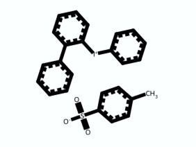 Cc1ccc(S(=O)(=O)[O-])cc1.c1ccc([I+]c2ccccc2-c2ccccc2)cc1